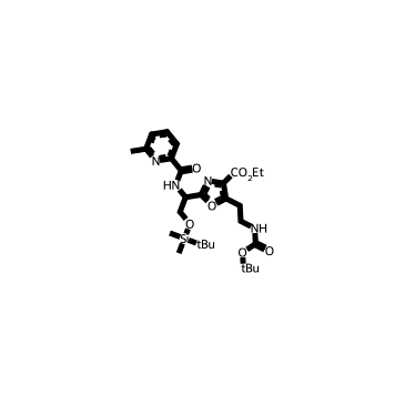 CCOC(=O)c1nc(C(CO[Si](C)(C)C(C)(C)C)NC(=O)c2cccc(C)n2)oc1CCNC(=O)OC(C)(C)C